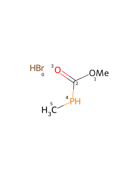 Br.COC(=O)PC